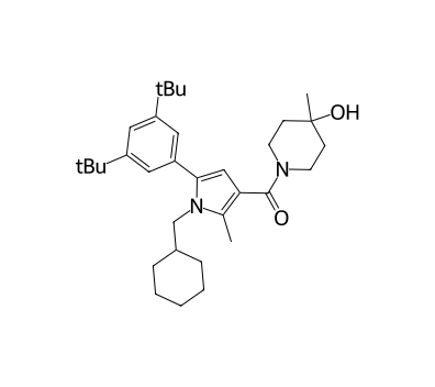 Cc1c(C(=O)N2CCC(C)(O)CC2)cc(-c2cc(C(C)(C)C)cc(C(C)(C)C)c2)n1CC1CCCCC1